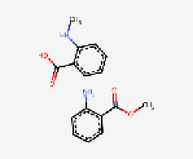 CNc1ccccc1C(=O)O.COC(=O)c1ccccc1N